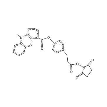 C[n+]1c2ccccc2cc2c(C(=O)Oc3ccc(CCC(=O)ON4C(=O)CCC4=O)cc3)cccc21